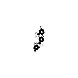 Cc1ccc(NC(=O)c2ccc3c(c2)NC(=O)c2cc(F)ccc2S3)c(F)c1